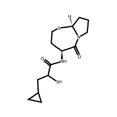 O=C(N[C@H]1CCS[C@H]2CCCN2C1=O)C(S)CC1CC1